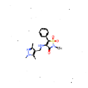 Cc1nn(C)c(C)c1CNC1=C(c2ccccc2)S(=O)(=O)N(C(C)(C)C)C1=O